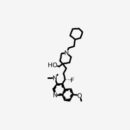 COc1ccc2ncc(N(C)C)c([C@@H](F)CCC3(CO)CCN(CCC4CCCCC4)CC3)c2c1